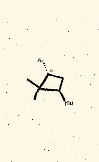 CC(=O)[C@@H]1CC(C(C)(C)C)C1(C)C